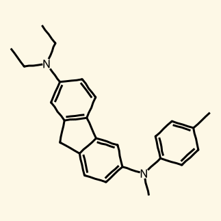 CCN(CC)c1ccc2c(c1)Cc1ccc(N(C)c3ccc(C)cc3)cc1-2